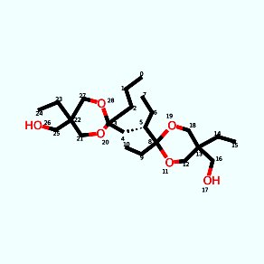 CCCC1(C[C@H](CC)C2(CC)OCC(CC)(CO)CO2)OCC(CC)(CO)CO1